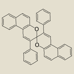 C1=C(c2ccccc2)C2(Oc3ccc4ccccc4c31)Oc1ccc3ccccc3c1C=C2c1ccccc1